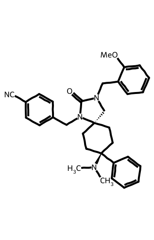 COc1ccccc1CN1C[C@]2(CC[C@](c3ccccc3)(N(C)C)CC2)N(Cc2ccc(C#N)cc2)C1=O